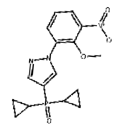 COc1c(-n2cc(P(=O)(C3CC3)C3CC3)cn2)cccc1[N+](=O)[O-]